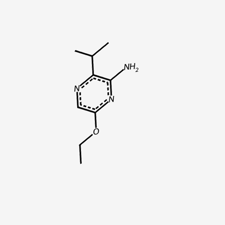 CCOc1cnc(C(C)C)c(N)n1